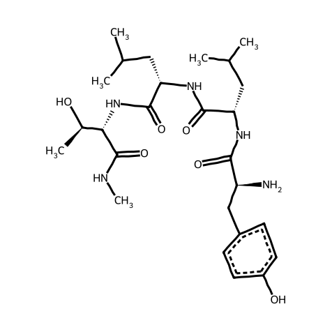 CNC(=O)[C@@H](NC(=O)[C@H](CC(C)C)NC(=O)[C@H](CC(C)C)NC(=O)[C@@H](N)Cc1ccc(O)cc1)[C@@H](C)O